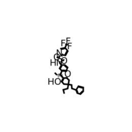 CCCC1(CCc2ccccc2)CC(=O)C([C@H](CC)c2cccc(NS(=O)(=O)c3ccc(C(F)(F)F)cn3)c2)=C(O)C1